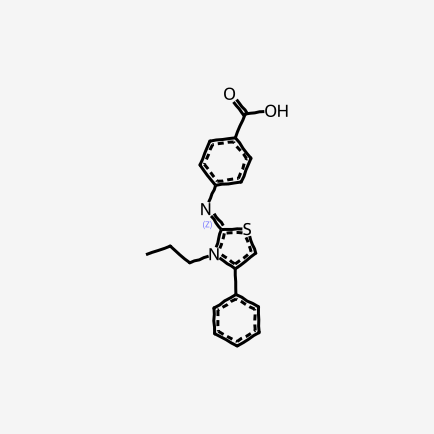 CCCn1c(-c2ccccc2)cs/c1=N\c1ccc(C(=O)O)cc1